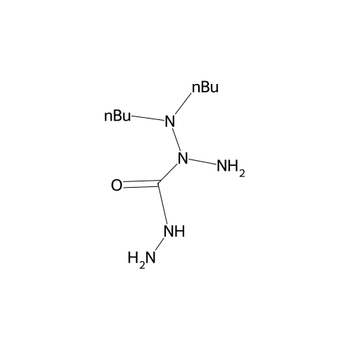 CCCCN(CCCC)N(N)C(=O)NN